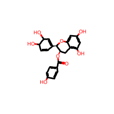 O=C(O[C@@H]1Cc2c(O)cc(O)cc2O[C@@H]1C1=CC(O)C(O)C=C1)c1ccc(O)cc1